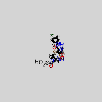 Cc1cc(NC(=O)c2c3c(cn2C)S(=O)(=O)N[C@H]2CN(C(=O)C(=O)O)C[C@H]2CS3)ccc1F